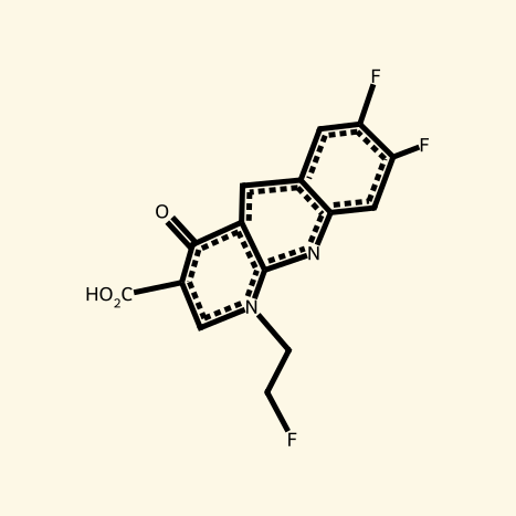 O=C(O)c1cn(CCF)c2nc3cc(F)c(F)cc3cc2c1=O